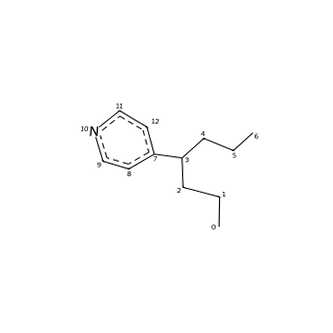 CCCC(CCC)c1ccncc1